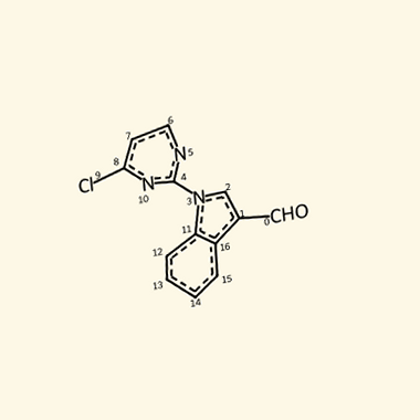 O=Cc1cn(-c2nccc(Cl)n2)c2ccccc12